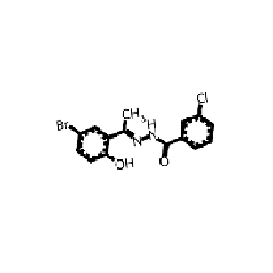 C/C(=N\NC(=O)c1cccc(Cl)c1)c1cc(Br)ccc1O